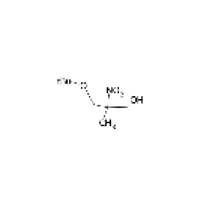 CC(C)(C)OCC(C)(CO)[N+](=O)[O-]